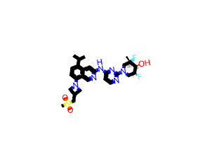 CC(C)c1ccc(N2CC(CS(C)(=O)=O)C2)c2cnc(Nc3ccnc(N4C[C@@H](F)[C@@H](O)[C@@](C)(F)C4)n3)cc12